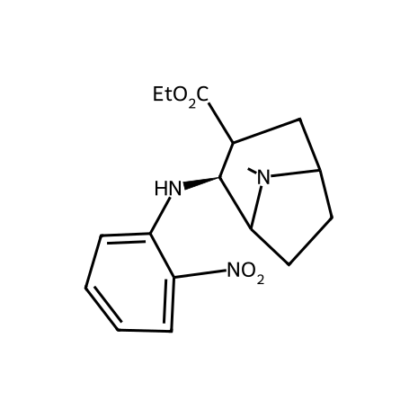 CCOC(=O)C1CC2CCC([C@H]1Nc1ccccc1[N+](=O)[O-])N2C